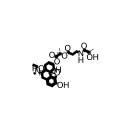 CCN(C)[C@@H]1Cc2ccc(O)c3c2[C@@]2(C)[C@@H](O3)C(OC(=O)[C@H](C)OC(=O)CCNC(=O)[C@H](C)O)=CC[C@@]12O